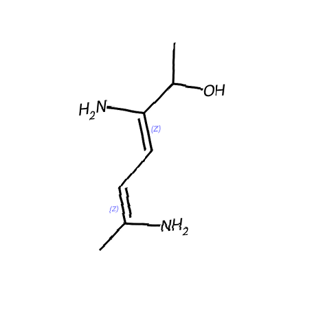 C/C(N)=C/C=C(\N)C(C)O